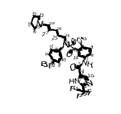 COc1ccc(NC(=O)c2cnc(C(F)(F)F)[nH]2)cc1S(=O)(=O)N(CCCCCN1CCCC1)c1ccc(Br)cc1